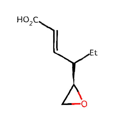 CCC(C=CC(=O)O)[C@@H]1CO1